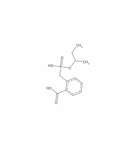 CCC(C)OP(=O)(O)Cc1ccccc1C(=O)O